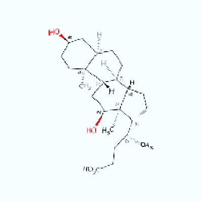 C[C@H](CC[13C](=O)O)[C@H]1CC[C@H]2[C@@H]3CC[C@@H]4C[C@H](O)CC[C@]4(C)[C@H]3C[C@H](O)[C@]12C